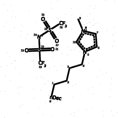 CCCCCCCCCCCCCCn1cc[n+](C)c1.O=S(=O)([N-]S(=O)(=O)C(F)(F)F)C(F)(F)F